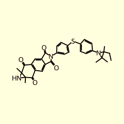 CCC1(C)N(c2ccc(Sc3ccc(N4C(=O)c5cc6c(cc5C4=O)C(=O)C4(C)NC4(C)C6=O)cc3)cc2)C1(C)C